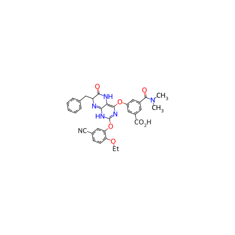 CCOc1ccc(C#N)cc1OC1=NC(Oc2cc(C(=O)O)cc(C(=O)N(C)C)c2)=C2NC(=O)C(Cc3ccccc3)N=C2N1